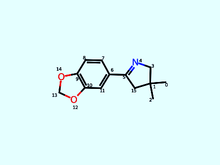 CC1(C)CN=C(c2ccc3c(c2)OCO3)C1